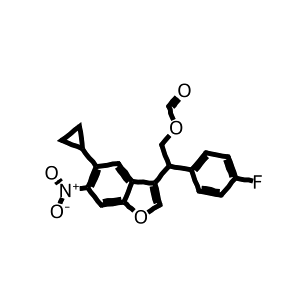 O=COCC(c1ccc(F)cc1)c1coc2cc([N+](=O)[O-])c(C3CC3)cc12